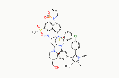 Cc1c(C(=O)O)c(-c2cccc(N3CCN(c4ccc(N5CC=CO[P@]5(=O)c5ccc(NC(CCN6CCC(CO)CC6)CSc6ccccc6)c(S(=O)(=O)C(F)(F)F)c5)cc4)CC3)c2)c(-c2ccc(Cl)cc2)n1C(C)C